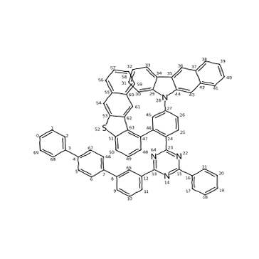 c1ccc(-c2ccc(-c3cccc(-c4nc(-c5ccccc5)nc(-c5ccc(-n6c7ccccc7c7cc8ccccc8cc76)cc5-c5cccc6sc7cc8ccccc8cc7c56)n4)c3)cc2)cc1